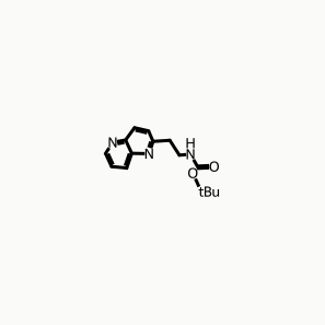 CC(C)(C)OC(=O)NCCc1ccc2ncccc2n1